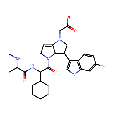 CNC(C)C(=O)NC(C(=O)N1CC=C2C1C(c1c[nH]c3cc(F)ccc13)CN2CC(=O)O)C1CCCCC1